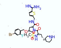 CS(=O)(=O)N[C@H](CC[C@H]1CCCNC1)C(=O)N1C[C@H](OCc2ccc(Br)cc2F)C[C@H]1C(=O)NCc1ccc(C(=N)N)s1